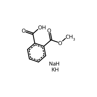 COC(=O)c1ccccc1C(=O)O.[KH].[NaH]